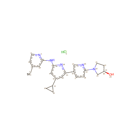 Cl.N#Cc1ccnc(Nc2cc(C3CC3)cc(-c3ccc(N4CC[C@@H](O)C4)nc3)n2)c1